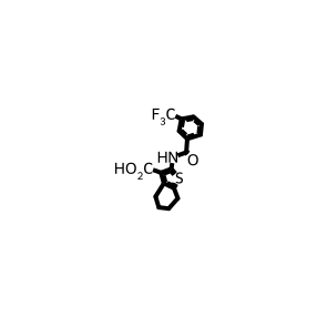 O=C(Nc1sc2c(c1C(=O)O)CCCC2)c1cccc(C(F)(F)F)c1